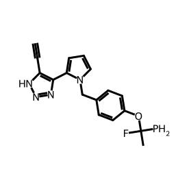 C#Cc1[nH]nnc1-c1cccn1Cc1ccc(OC(C)(F)P)cc1